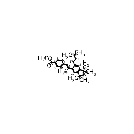 COC(=O)c1ccc(C=C(C)c2cc3c(cc2CCC(C)C)C(C)(C)CC3(C)C)cc1